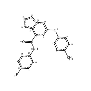 Cc1ncc(Oc2cc(C(=O)Nc3ccc(F)cn3)c3nncn3c2)cn1